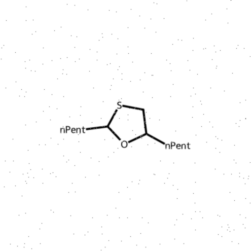 CCCCCC1CSC(CCCCC)O1